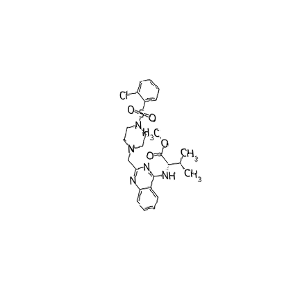 COC(=O)[C@@H](Nc1nc(CN2CCN(S(=O)(=O)c3ccccc3Cl)CC2)nc2ccccc12)C(C)C